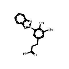 CC(C)(C)c1cc(CCC([NH])=O)cc(-n2nc3ccccc3n2)c1O